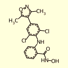 Cc1noc(C)c1-c1cc(Cl)c(Nc2ccccc2C(=O)NO)c(Cl)c1